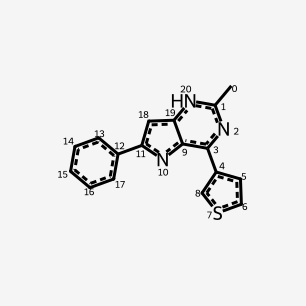 Cc1nc(-c2ccsc2)c2nc(-c3ccccc3)cc-2[nH]1